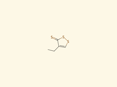 CCc1cssc1=S